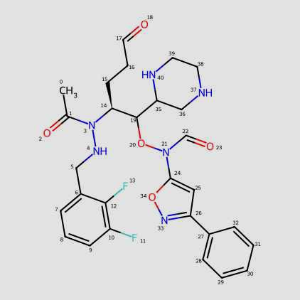 CC(=O)N(NCc1cccc(F)c1F)[C@@H](CCC=O)C(ON(C=O)c1cc(-c2ccccc2)no1)C1CNCCN1